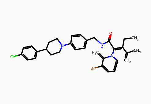 C=C(C)/C(CC)=C(/C(=O)NCc1ccc(N2CCC(c3ccc(Cl)cc3)CC2)cc1)N1C=CC=C(Br)C1=C